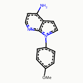 COc1ccc(-n2ccc3c(N)[c]cnc32)cc1